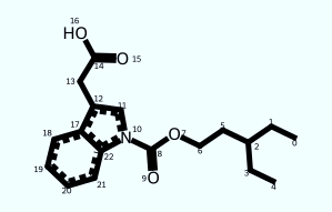 CCC(CC)CCOC(=O)n1cc(CC(=O)O)c2ccccc21